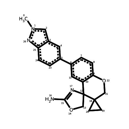 Cn1cc2cc(-c3ccc4c(c3)C3(COC(N)=N3)C3(CC3)CO4)ccc2n1